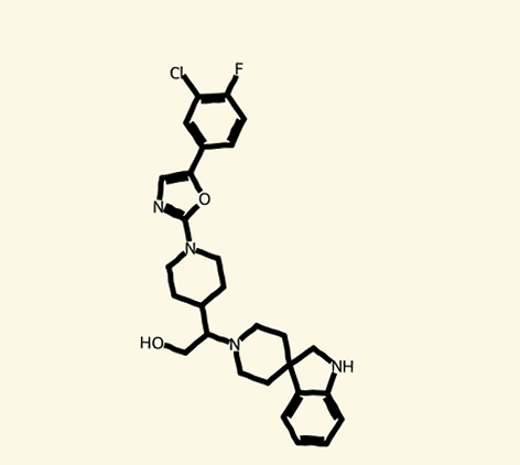 OCC(C1CCN(c2ncc(-c3ccc(F)c(Cl)c3)o2)CC1)N1CCC2(CC1)CNc1ccccc12